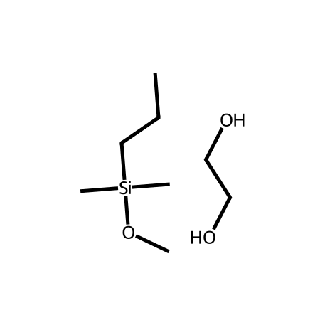 CCC[Si](C)(C)OC.OCCO